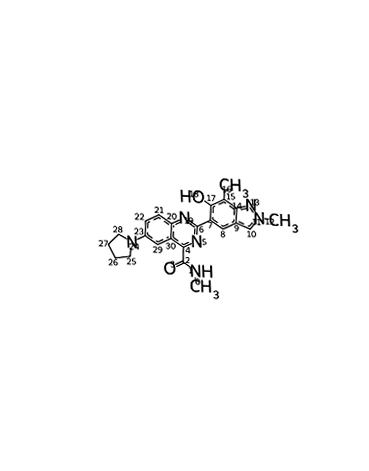 CNC(=O)c1nc(-c2cc3cn(C)nc3c(C)c2O)nc2ccc(N3CCCC3)cc12